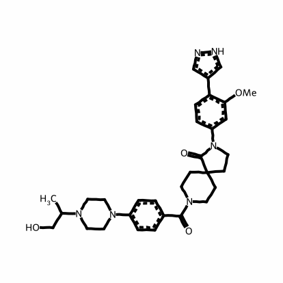 COc1cc(N2CCC3(CCN(C(=O)c4ccc(N5CCN(C(C)CO)CC5)cc4)CC3)C2=O)ccc1-c1cn[nH]c1